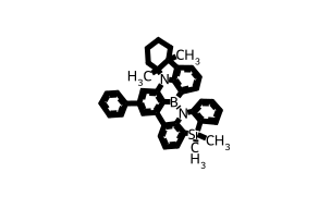 CC12CCCCC1(C)N1c3cc(-c4ccccc4)cc4c3B(c3cccc2c31)N1c2ccccc2[Si](C)(C)c2cccc-4c21